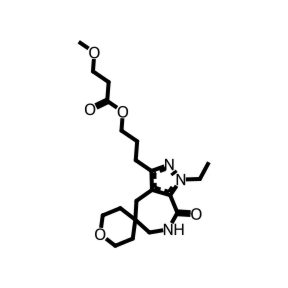 CCn1nc(CCCOC(=O)CCOC)c2c1C(=O)NCC1(CCOCC1)C2